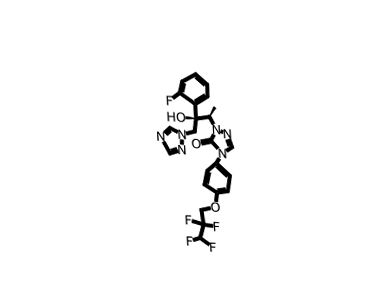 C[C@@H](n1ncn(-c2ccc(OCC(F)(F)C(F)F)cc2)c1=O)[C@](O)(Cn1cncn1)c1ccccc1F